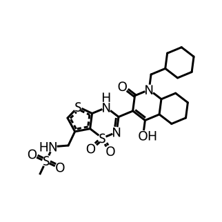 CS(=O)(=O)NCc1csc2c1S(=O)(=O)N=C(C1=C(O)C3CCCCC3N(CC3CCCCC3)C1=O)N2